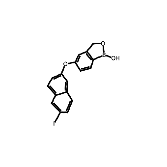 OB1OCc2cc(Oc3ccc4cc(I)ccc4c3)ccc21